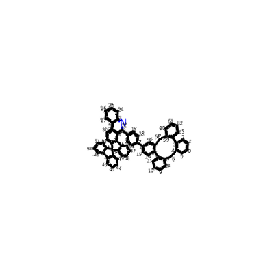 c1ccc2c(c1)Cc1ccccc1-c1ccc(-c3ccc(-c4nc5ccccc5c5ccc6c(c45)-c4ccccc4C64c5ccccc5-c5ccccc54)cc3)cc1Cc1ccccc1-2